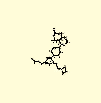 CCCCc1cn(CCN2CCC2)c(C2CCN(c3ncnc4c3[C@H](C)CC(=O)N4)CC2)n1